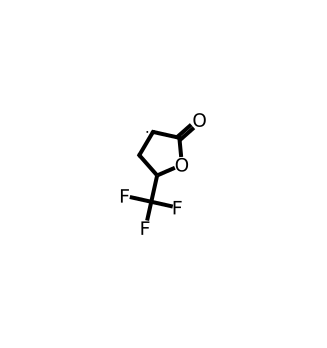 O=C1[CH]CC(C(F)(F)F)O1